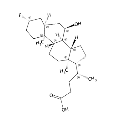 C[C@H](CCC(=O)O)[C@H]1CC[C@H]2[C@@H]3[C@H](O)C[C@@H]4C[C@@H](F)CC[C@]4(C)[C@H]3CC[C@]12C